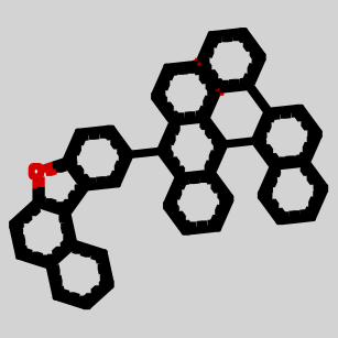 c1ccc(-c2ccc3ccccc3c2-c2c3ccccc3c(-c3ccc4oc5ccc6ccccc6c5c4c3)c3ccccc23)cc1